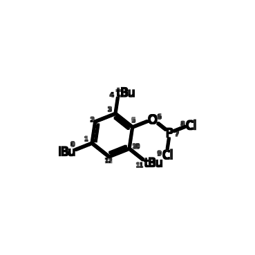 CCC(C)c1cc(C(C)(C)C)c(OP(Cl)Cl)c(C(C)(C)C)c1